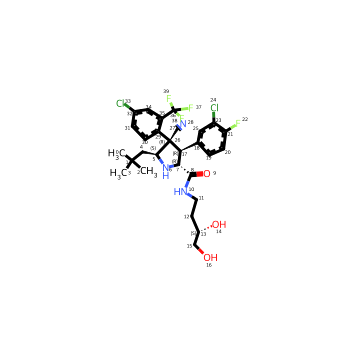 CC(C)(C)C[C@@H]1N[C@@H](C(=O)NCC[C@H](O)CO)[C@H](c2ccc(F)c(Cl)c2)[C@@]1(C#N)c1ccc(Cl)cc1C(F)(F)F